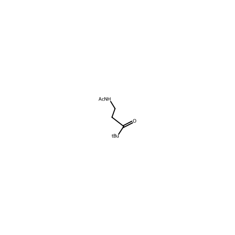 CC(=O)NCCC(=O)C(C)(C)C